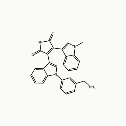 Cn1cc(C2=C(c3cn(-c4cccc(CN)c4)c4ccccc34)C(=O)NC2=O)c2ccccc21